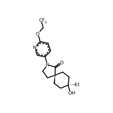 CC[C@]1(O)CC[C@]2(CCN(c3ccc(OCC(F)(F)F)nc3)C2=O)CC1